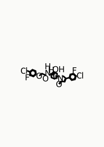 O=C(COc1ccc(Cl)c(F)c1)NC12CCC(N3CC(c4ccc(Cl)c(F)c4)=CC3=O)(CC1)C[C@@H]2O